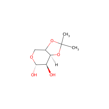 CC1(C)OC2CO[C@@H](O)[C@H](O)[C@@H]2O1